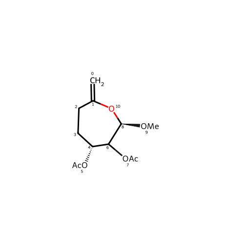 C=C1CC[C@@H](OC(C)=O)C(OC(C)=O)[C@H](OC)O1